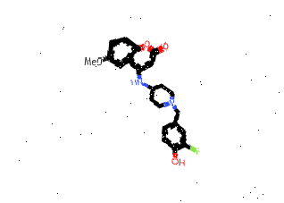 COc1ccc2oc(=O)cc(NC3CCN(Cc4ccc(O)c(F)c4)CC3)c2c1